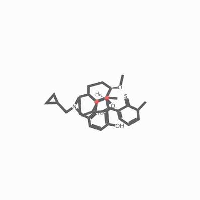 CO[C@]12CCC3(CC1(C)[C@H](O)C1=CC=CC(C)C1=S)C1Cc4ccc(O)c5c4[C@@]3(CCN1CC1CC1)[C@@H]2O5